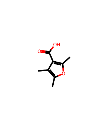 Cc1oc(C)c(C(=O)O)c1C